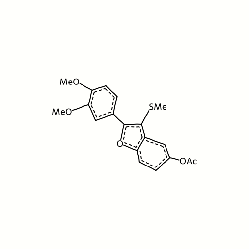 COc1ccc(-c2oc3ccc(OC(C)=O)cc3c2SC)cc1OC